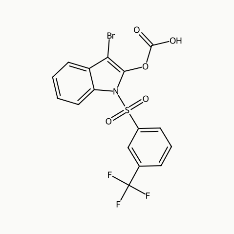 O=C(O)Oc1c(Br)c2ccccc2n1S(=O)(=O)c1cccc(C(F)(F)F)c1